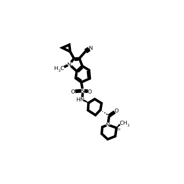 C[C@H]1CCCCN1C(=O)[C@H]1CC[C@H](NS(=O)(=O)c2ccc3c(C#N)c(C4CC4)n(C)c3c2)CC1